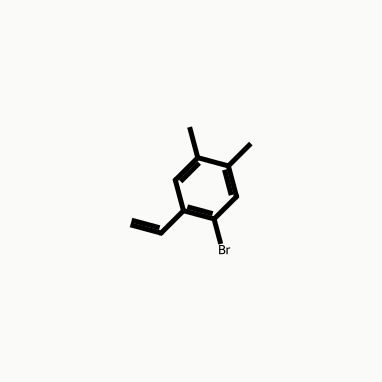 C=Cc1cc(C)c(C)cc1Br